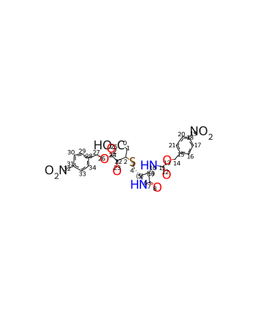 O=C(O)CC(SC[C@H]1NC(=O)[C@H]1NC(=O)OCc1ccc([N+](=O)[O-])cc1)C(=O)C(=O)OCc1ccc([N+](=O)[O-])cc1